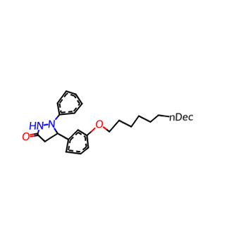 CCCCCCCCCCCCCCCCOc1cccc(C2CC(=O)NN2c2ccccc2)c1